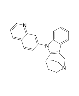 c1cnc2cc(-n3c4c(c5ccccc53)CN3CCC4CC3)ccc2c1